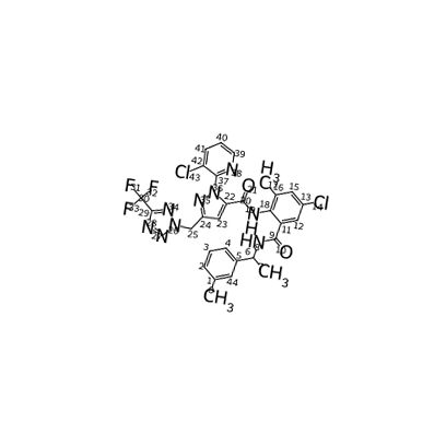 Cc1cccc(C(C)NC(=O)c2cc(Cl)cc(C)c2NC(=O)c2cc(Cn3nnc(C(F)(F)F)n3)nn2-c2ncccc2Cl)c1